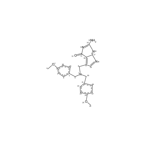 COc1ccc(CN(CC2=C3C(=O)N=C(N)N=C3N=C2)Cc2ccc(OC)cc2)cc1